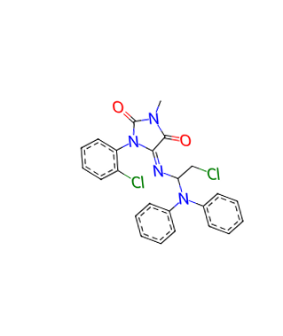 CN1C(=O)/C(=N\C(CCl)N(c2ccccc2)c2ccccc2)N(c2ccccc2Cl)C1=O